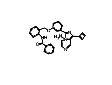 N[N+]12C=CN=CC1=C(C1=CC=C1)N=C2c1cccc(OCc2ccccc2NC(=O)c2ccccc2)c1